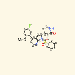 COc1ccc(F)cc1-c1ccnc2c1cc(C1=CC(=O)NCC1)n2S(=O)(=O)c1ccccc1